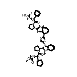 COC(=O)N[C@@H](C(=O)N1CCC[C@H]1C1Nc2ccccc2N1c1cnc(-c2cccc3[nH]c([C@@H]4CCCN4C(=O)[C@H](NC(=O)O)c4ccccc4)nc23)o1)c1ccccc1